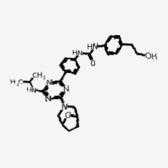 CC(C)Nc1nc(-c2ccc(NC(=O)Nc3ccc(CCO)cc3)cc2)nc(N2CC3CCC(C2)O3)n1